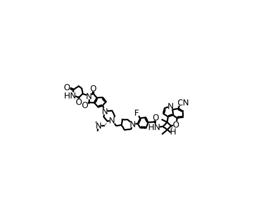 CN(C)C[C@@H]1CN(c2ccc3c(c2)C(=O)N(C2CCC(=O)NC2=O)C3=O)CCN1CC1CCN(c2ccc(C(=O)NC3C(C)(C)[C@@H]4Oc5ccc(C#N)c6nccc(c56)C34C)cc2F)CC1